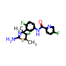 C[C@H]1SC(N)=N[C@](C)(c2cc(NC(=O)c3ccc(F)cn3)ccc2F)[C@H]1F